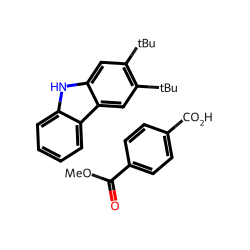 CC(C)(C)c1cc2[nH]c3ccccc3c2cc1C(C)(C)C.COC(=O)c1ccc(C(=O)O)cc1